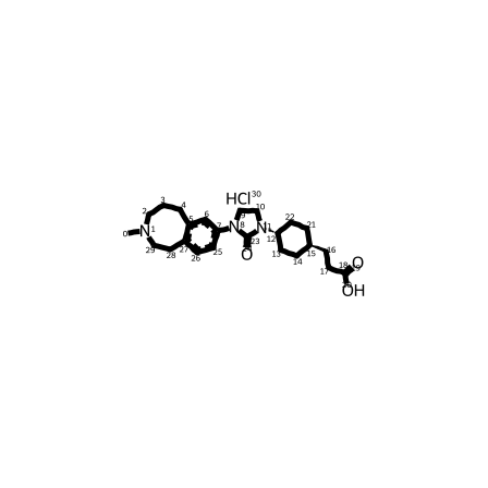 CN1CCCc2cc(N3CCN([C@H]4CC[C@H](CCC(=O)O)CC4)C3=O)ccc2CC1.Cl